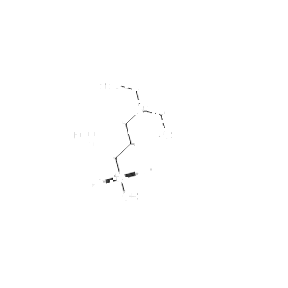 CCN(CC)CCCS(=O)(=O)O.O